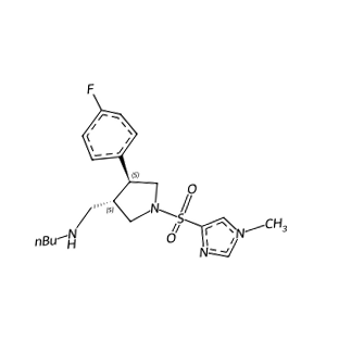 CCCCNC[C@H]1CN(S(=O)(=O)c2cn(C)cn2)C[C@@H]1c1ccc(F)cc1